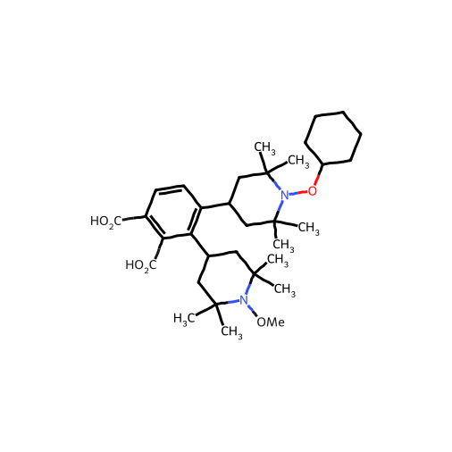 CON1C(C)(C)CC(c2c(C3CC(C)(C)N(OC4CCCCC4)C(C)(C)C3)ccc(C(=O)O)c2C(=O)O)CC1(C)C